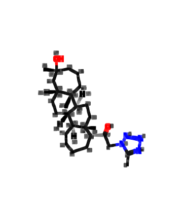 Cc1nnnn1CC(=O)[C@@H]1CCCC[C@H]2[C@@H]3CC[C@@H]4C[C@](C)(O)CCC[C@]4(C)[C@H]3CC[C@]12C